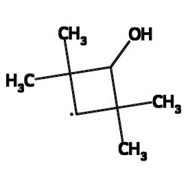 CC1(C)[CH]C(C)(C)C1O